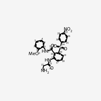 COc1ccccc1NC(=O)c1c(NC(=O)CN)cccc1S(=O)(=O)c1ccc([N+](=O)[O-])cc1